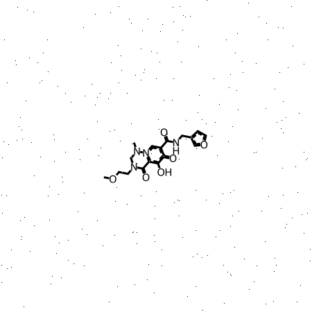 COCCN1CN(C)n2cc(C(=O)NCc3ccoc3)c(=O)c(O)c2C1=O